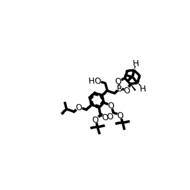 CC(C)COCc1ccc(C(CO)CB2OC3C[C@H]4C[C@H](C4(C)C)[C@]3(C)O2)c(OC(=O)OC(C)(C)C)c1C(=O)OC(C)(C)C